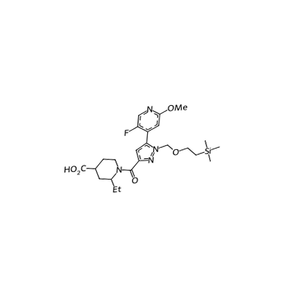 CCC1CC(C(=O)O)CCN1C(=O)c1cc(-c2cc(OC)ncc2F)n(COCC[Si](C)(C)C)n1